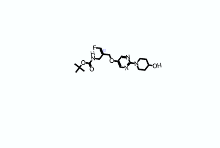 CC(C)(C)OC(=O)NC/C(=C\F)COc1cnc(N2CCC(O)CC2)nc1